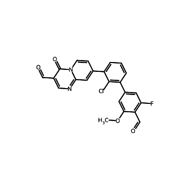 COc1cc(-c2cccc(-c3ccn4c(=O)c(C=O)cnc4c3)c2Cl)cc(F)c1C=O